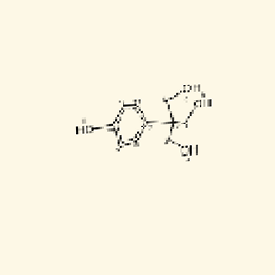 OCC(CO)(CO)c1ccc(O)cc1